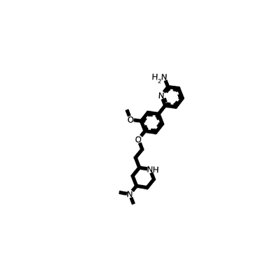 COc1cc(-c2cccc(N)n2)ccc1OCCC1CC(N(C)C)CCN1